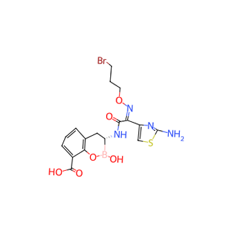 Nc1nc(/C(=N/OCCCBr)C(=O)N[C@H]2Cc3cccc(C(=O)O)c3OB2O)cs1